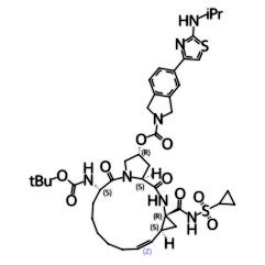 CC(C)Nc1nc(-c2ccc3c(c2)CN(C(=O)O[C@@H]2C[C@H]4C(=O)N[C@]5(C(=O)NS(=O)(=O)C6CC6)C[C@H]5/C=C\CCCCC[C@H](NC(=O)OC(C)(C)C)C(=O)N4C2)C3)cs1